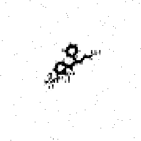 CS(=O)(=O)Nc1cccc2c(C(CCCO)c3ccccc3)n[nH]c12